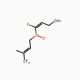 CC(=O)OCC=C(F)[S+]([O-])CC=C(C)C(F)(F)F